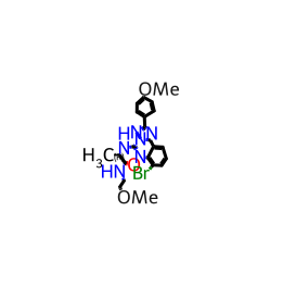 COCCNC(=O)[C@@H](C)Nc1nc2c(Br)cccc2c2nc(-c3ccc(OC)cc3)nn12